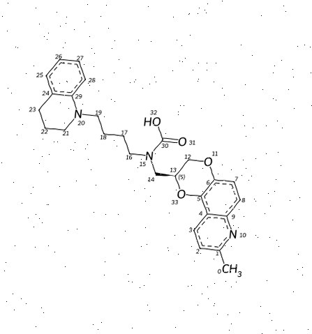 Cc1ccc2c3c(ccc2n1)OC[C@H](CN(CCCCN1CCCc2ccccc21)C(=O)O)O3